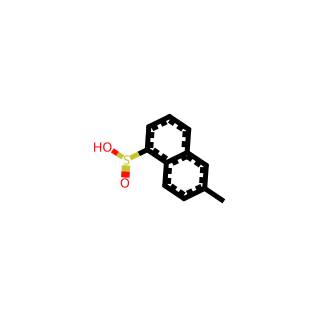 Cc1ccc2c(S(=O)O)cccc2c1